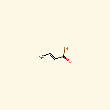 CC=CC(=O)S